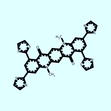 Cn1c2cc3c(=O)c4c(-c5nccs5)cc(-c5nccs5)cc4n(C)c3cc2c(=O)c2c(-c3nccs3)cc(-c3nccs3)cc21